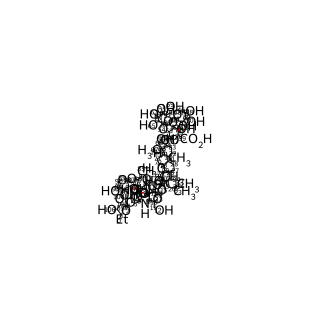 CCC1O[C@@H](OCC(=O)N[C@H]2C(CO)O[C@@H](OC(=O)[C@]34CCC(C)(C)CC3C3=CCC5C6(C)CC[C@H](O[C@@H]7OC(C(=O)O)[C@@H](O)[C@H](O[C@@H]8OC[C@@H](O)[C@H](O)C8O)C7O[C@@H]7OC(CO)[C@H](O)[C@H](O)C7O)[C@](C)(CO)[C@@H]6CCC5(C)[C@]3(C)CC4O)C(O[C@@H]3OC(C)[C@H](O[C@@H]4OC[C@@H](O)C(O)C4O)C(O)C3O)C2O)C(O)C1O